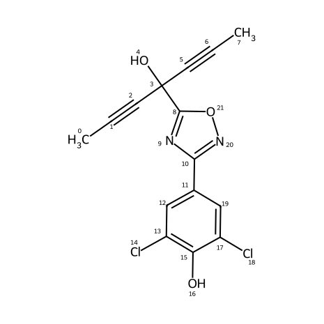 CC#CC(O)(C#CC)c1nc(-c2cc(Cl)c(O)c(Cl)c2)no1